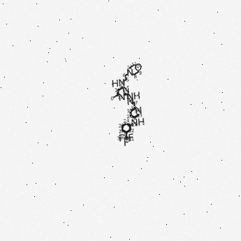 Cc1cc(NCCN2CCOCC2)nc(N/N=C/c2ccc(Nc3cccc(C(F)(F)F)c3)cn2)n1